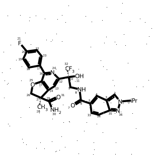 CC(C)n1cc2cc(C(=O)NC[C@](O)(c3cc4c(c(-c5ccc(F)cc5)n3)OC[C@]4(C)C(N)=O)C(F)(F)F)ccc2n1